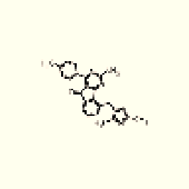 Cc1ccc(-c2nc(N)nc3c2C(=O)c2cccc(Cc4sc(C)nc4C)c2-3)cc1